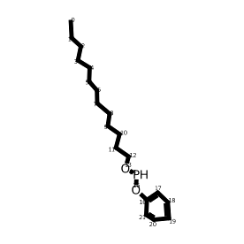 CCCCCCCCCCCCCOPOc1ccccc1